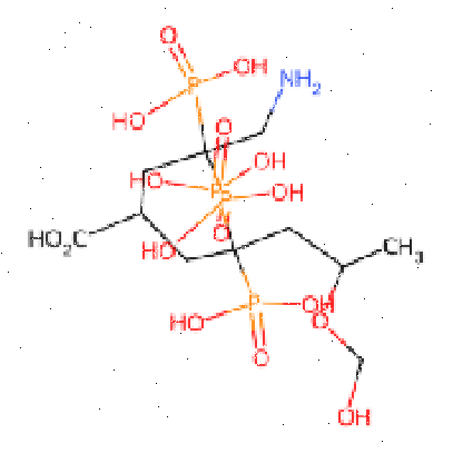 CC(CC(CC(CC(CN)(P(=O)(O)O)P(=O)(O)O)C(=O)O)(P(=O)(O)O)P(=O)(O)O)OCO